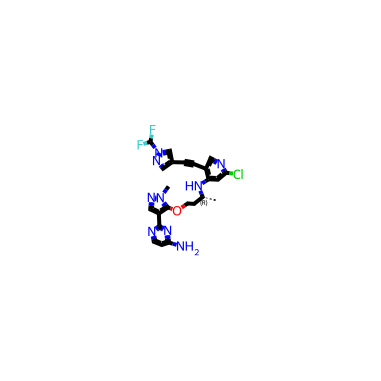 C[C@H](CCOc1c(-c2nccc(N)n2)cnn1C)Nc1cc(Cl)ncc1C#Cc1cnn(C(F)F)c1